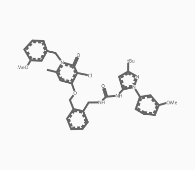 COc1cccc(Cn2c(C)cc(OCc3ccccc3CNC(=O)Nc3cc(C(C)(C)C)nn3-c3cccc(OC)c3)c(Cl)c2=O)c1